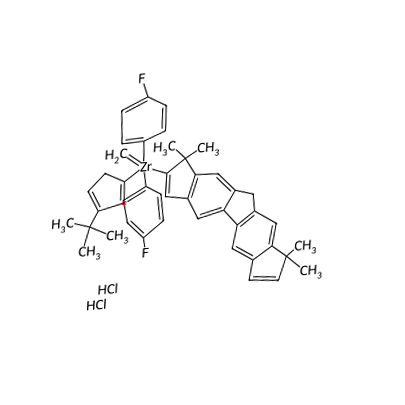 Cl.Cl.[CH2]=[Zr]([C]1=CC(C(C)(C)C)=CC1)([C]1=Cc2cc3c(cc2C1(C)C)Cc1cc2c(cc1-3)C=CC2(C)C)([c]1ccc(F)cc1)[c]1ccc(F)cc1